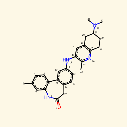 Cc1ccc2c(c1)NC(=O)Cc1ccc(Nc3cc4c(nc3C)CCC(N(C)C)C4)cc1-2